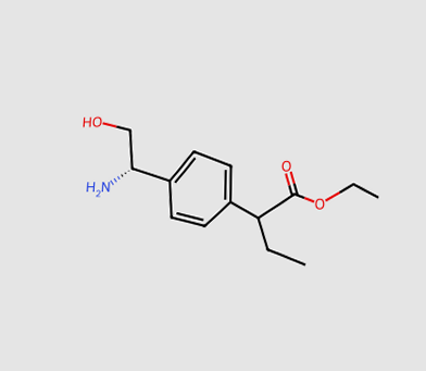 CCOC(=O)C(CC)c1ccc([C@H](N)CO)cc1